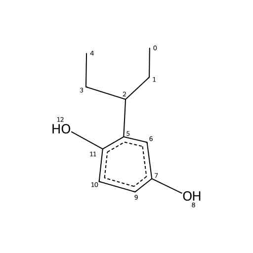 CCC(CC)c1cc(O)ccc1O